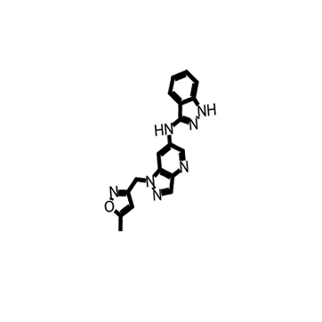 Cc1cc(Cn2ncc3ncc(Nc4n[nH]c5ccccc45)cc32)no1